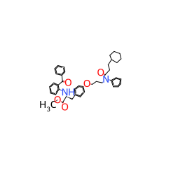 COC(=O)[C@H](Cc1ccc(OCCCN(C(=O)CCC2CCCCC2)c2ccccc2)cc1)Nc1ccccc1C(=O)c1ccccc1